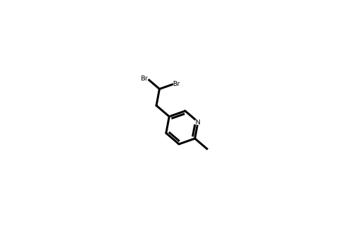 Cc1ccc(CC(Br)Br)cn1